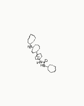 O=C(BC1CCCCCCC1)NC12CCC(C3CCCCC(BC4CCCCCCC4)CC3)(CC1)CC2